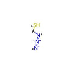 [N-]=[N+]=NCS